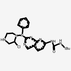 CC(C)(C)NC(=O)Nc1ccc2cnc(N(c3ccccc3)N3CCNCC3Cl)nc2n1